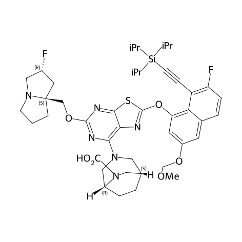 COCOc1cc(Oc2nc3c(N4C[C@@H]5CC[C@H](C4)N(C(=O)O)C5)nc(OC[C@@]45CCCN4C[C@H](F)C5)nc3s2)c2c(C#C[Si](C(C)C)(C(C)C)C(C)C)c(F)ccc2c1